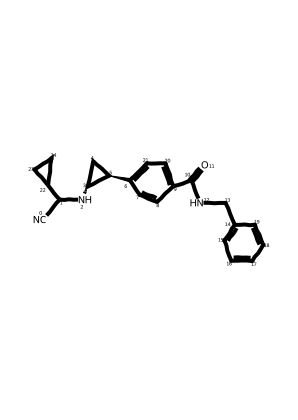 N#CC(N[C@@H]1C[C@H]1c1ccc(C(=O)NCc2ccccc2)cc1)C1CC1